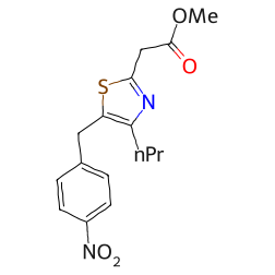 CCCc1nc(CC(=O)OC)sc1Cc1ccc([N+](=O)[O-])cc1